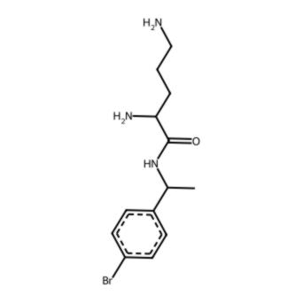 CC(NC(=O)C(N)CCCN)c1ccc(Br)cc1